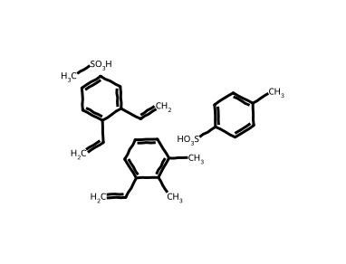 C=Cc1cccc(C)c1C.C=Cc1ccccc1C=C.CS(=O)(=O)O.Cc1ccc(S(=O)(=O)O)cc1